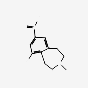 CN1CCc2cc([N+](=O)[O-])cc(Br)c2CC1